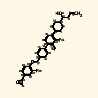 CCCC(O)C1CCC(c2ccc(-c3ccc(COc4ccc(C5CO5)cc4F)cc3)c(F)c2F)CC1